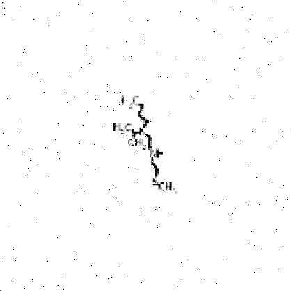 CCCCN(CCNCCSC)C(C)C